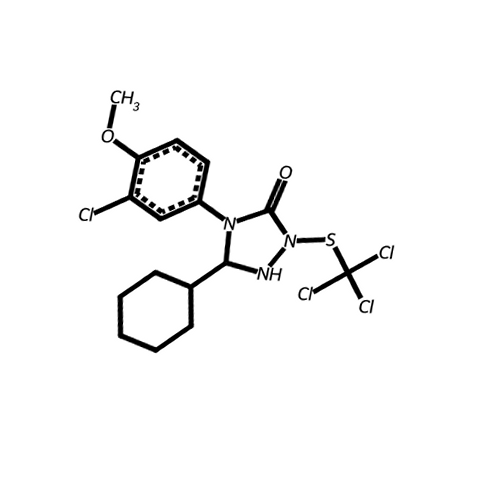 COc1ccc(N2C(=O)N(SC(Cl)(Cl)Cl)NC2C2CCCCC2)cc1Cl